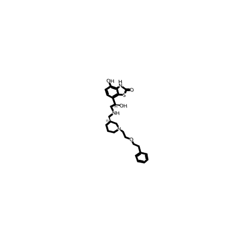 O=c1[nH]c2c(O)ccc([C@@H](O)CNC[C@@H]3CCCN(CCOCCc4ccccc4)C3)c2s1